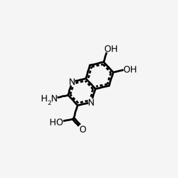 Nc1nc2cc(O)c(O)cc2nc1C(=O)O